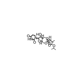 CC(C)OC(=O)[C@H](C)N[P@@]1(=O)OC[C@H]2[C@@H](O)[C@H](n3ccc(=O)[nH]c3=O)O[C@@H]2CO1